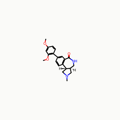 COc1ccc(-c2ccc3c(c2)C(=O)NC[C@H]2CN(C)C[C@H]32)c(OC)c1